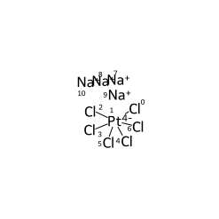 [Cl][Pt-4]([Cl])([Cl])([Cl])([Cl])[Cl].[Na+].[Na+].[Na+].[Na+]